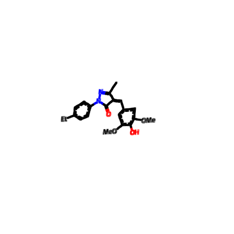 CCc1ccc(N2N=C(C)C(=Cc3cc(OC)c(O)c(OC)c3)C2=O)cc1